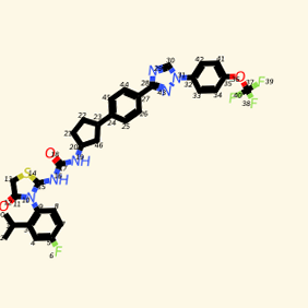 CC(C)c1cc(F)ccc1N1C(=O)CSC1NC(=O)NC1CCC(c2ccc(-c3ncn(-c4ccc(OC(F)(F)F)cc4)n3)cc2)C1